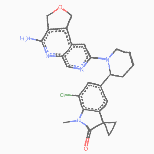 CN1C(=O)C2(CC2)c2cc(C3CCCCN3c3cc4c5c(c(N)nc4cn3)COC5)cc(Cl)c21